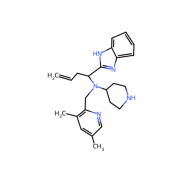 C=CCC(c1nc2ccccc2[nH]1)N(Cc1ncc(C)cc1C)C1CCNCC1